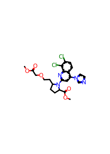 COC(=O)COCCC1CCC(C(=O)OC)N1c1cc(-n2ccnc2)c2ccc(Cl)c(Cl)c2n1